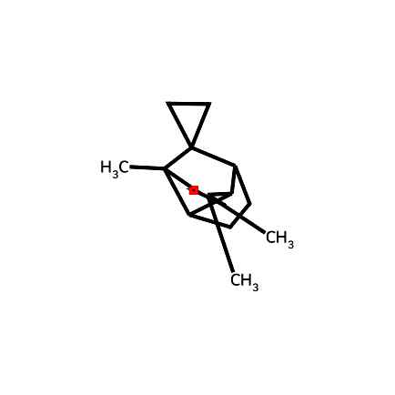 CC1(C)CCCC2(C)C3CCC(C31)C21CC1